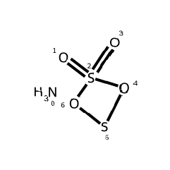 N.O=S1(=O)OSO1